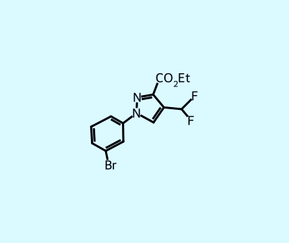 CCOC(=O)c1nn(-c2cccc(Br)c2)cc1C(F)F